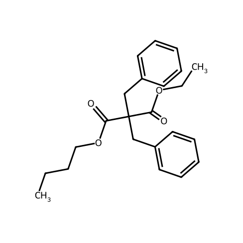 CCCCOC(=O)C(Cc1ccccc1)(Cc1ccccc1)C(=O)OCC